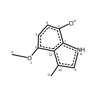 COc1ccc(Cl)c2[nH]cc(C)c12